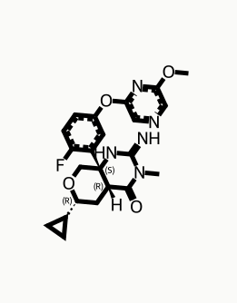 COc1cncc(Oc2ccc(F)c([C@]34CO[C@@H](C5CC5)C[C@H]3C(=O)N(C)C(=N)N4)c2)n1